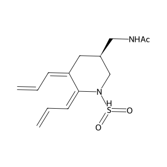 C=C/C=C1/C[C@@H](CNC(C)=O)CN([SH](=O)=O)/C1=C/C=C